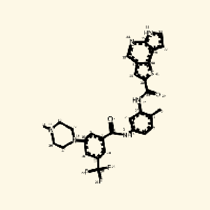 Cc1ccc(NC(=O)c2cc(N3CCN(C)CC3)cc(C(F)(F)F)c2)cc1NC(=O)c1cc2cnc3[nH]ccc3c2s1